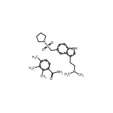 CN(C)CCc1c[nH]c2ccc(CS(=O)(=O)N3CCCC3)cc12.Cc1ccc(C(N)=O)c(C)c1C